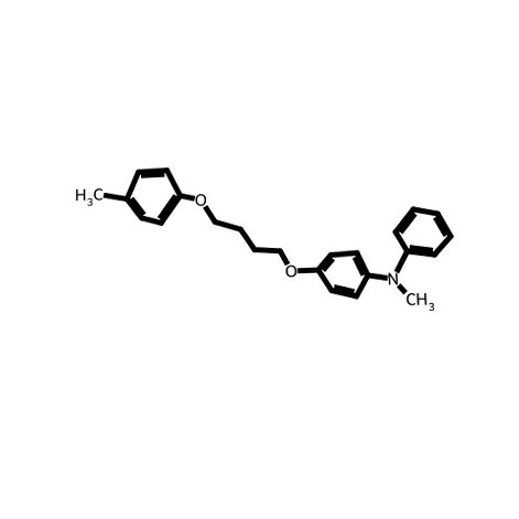 Cc1ccc(OCCCCOc2ccc(N(C)c3ccccc3)cc2)cc1